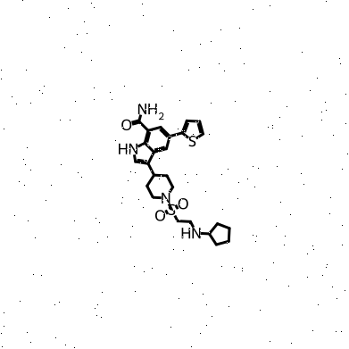 NC(=O)c1cc(-c2cccs2)cc2c(C3CCN(S(=O)(=O)CCNC4CCCC4)CC3)c[nH]c12